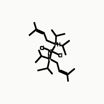 CC(C)=CC[PH](C(C)C)(C(C)C)[Ni]([Cl])([Cl])[PH](CC=C(C)C)(C(C)C)C(C)C